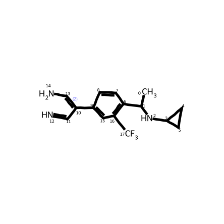 CC(NC1CC1)c1ccc(/C(C=N)=C/N)cc1C(F)(F)F